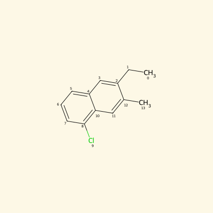 CCc1cc2cccc(Cl)c2cc1C